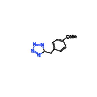 COc1ccc(CC2N=NN=N2)cc1